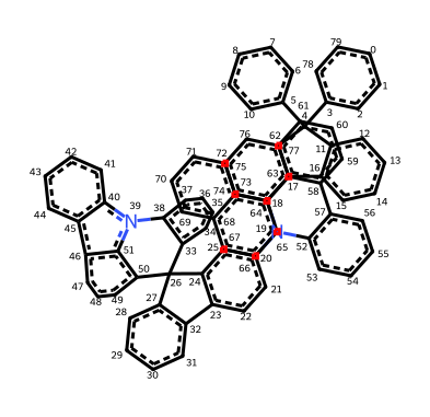 c1ccc(C2(c3ccccc3)c3ccccc3-c3c(N(c4ccc5c(c4)C4(c6ccccc6-5)c5ccccc5-n5c6ccccc6c6cccc4c65)c4ccccc4-c4ccccc4-c4cccc5ccccc45)cccc32)cc1